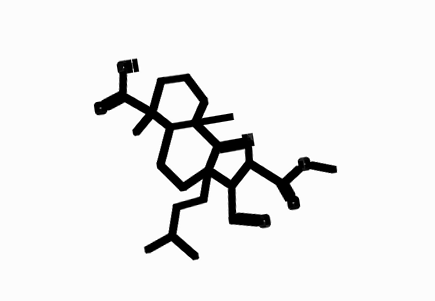 COC(=O)C1N=C2C3(C)CCCC(C)(C(=O)O)C3CCC2(CCC(C)C)C1C=O